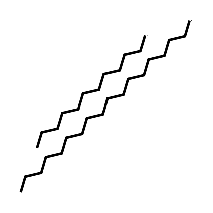 [CH2]CCCCCCCCCCC.[CH2]CCCCCCCCCCCCCCCCC